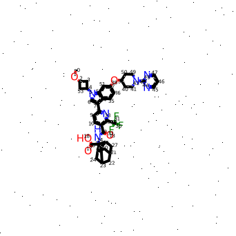 COC1CC(n2cc(-c3ccc(C(=O)NC4(C(=O)O)C5CC6CC(C5)CC4C6)c(C(F)(F)F)n3)c3ccc(OC4CCN(c5ncccn5)CC4)cc32)C1